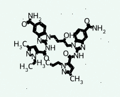 CCCn1nc(C)cc1C(=O)Nc1nc2cc(C(N)=O)ccc2n1CC(O)CCn1c(NC(=O)c2cc(C)nn2CC)nc2cc(C(N)=O)ccc21